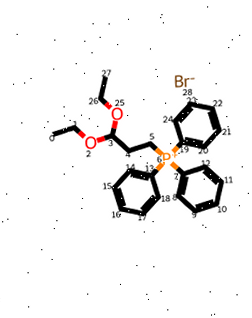 CCOC(CC[P+](c1ccccc1)(c1ccccc1)c1ccccc1)OCC.[Br-]